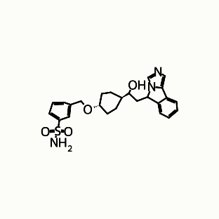 NS(=O)(=O)c1cccc(CO[C@H]2CC[C@H](C(O)CC3c4ccccc4-c4cncn43)CC2)c1